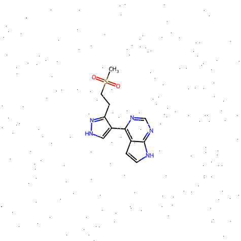 CS(=O)(=O)CCc1n[nH]cc1-c1ncnc2[nH]ccc12